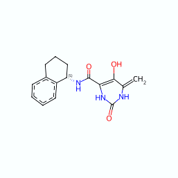 C=C1NC(=O)NC(C(=O)N[C@H]2CCCc3ccccc32)=C1O